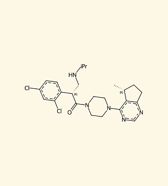 CC(C)NC[C@H](C(=O)N1CCN(c2ncnc3c2[C@H](C)CC3)CC1)c1ccc(Cl)cc1Cl